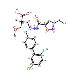 CCc1cc(C(=O)N[C@H](Cc2ccc(-c3cc(Cl)ccc3F)cc2)CC(C)(COC)C(=O)O)on1